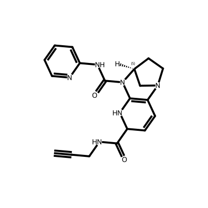 C#CCNC(=O)C1C=CC2=C(N1)N(C(=O)Nc1ccccn1)[C@H]1CCN2C1